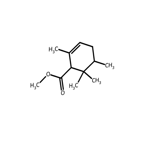 COC(=O)C1C(C)=CCC(C)C1(C)C